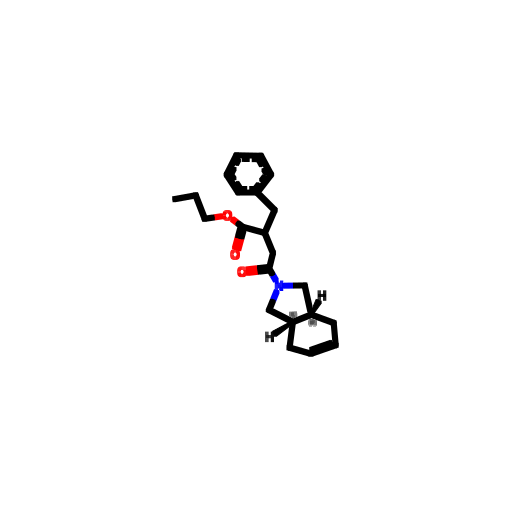 CCCOC(=O)C(CC(=O)N1C[C@H]2CC=CC[C@H]2C1)Cc1ccccc1